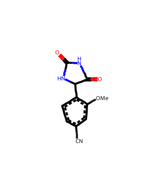 COc1cc(C#N)ccc1C1NC(=O)NC1=O